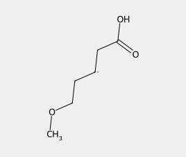 COCC[CH]CC(=O)O